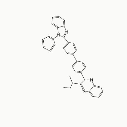 CCC(C)c1nc2ccccc2nc1-c1ccc(-c2ccc(-c3nc4ccccc4n3-c3ccccc3)cc2)cc1